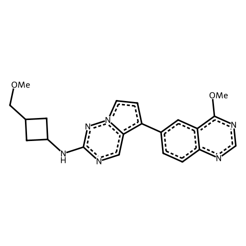 COCC1CC(Nc2ncc3c(-c4ccc5ncnc(OC)c5c4)ccn3n2)C1